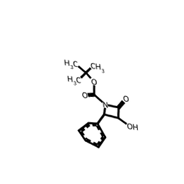 CC(C)(C)OC(=O)N1C(=O)C(O)C1c1ccccc1